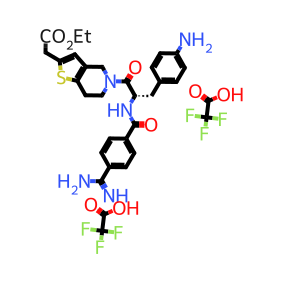 CCOC(=O)Cc1cc2c(s1)CCN(C(=O)[C@H](Cc1ccc(N)cc1)NC(=O)c1ccc(C(=N)N)cc1)C2.O=C(O)C(F)(F)F.O=C(O)C(F)(F)F